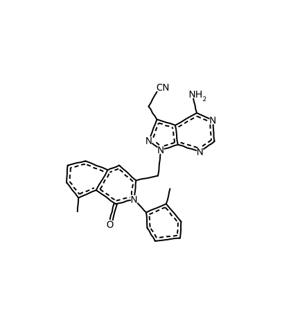 Cc1ccccc1-n1c(Cn2nc(CC#N)c3c(N)ncnc32)cc2cccc(C)c2c1=O